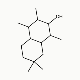 CC1C(C)C2CCC(C)(C)CC2C(C)C1O